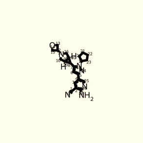 N#Cc1cc(-c2cc(C3[C@H]4CN(C5COC5)C[C@@H]34)n(C3CCCC3)n2)cnc1N